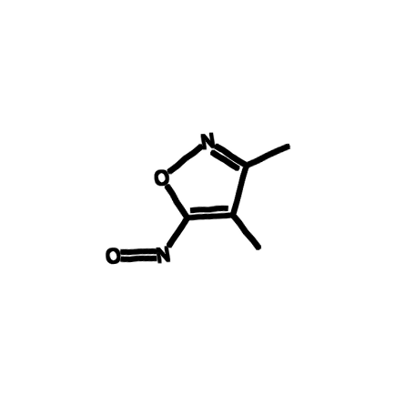 Cc1noc(N=O)c1C